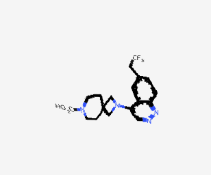 O=C(O)N1CCC2(CC1)CN(c1cnnc3ccc(CC(F)(F)F)cc13)C2